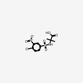 CC(C)(NS(=O)(=O)c1ccc(Cl)c([N+](=O)[O-])c1)C(=O)O